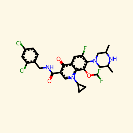 CC1CN(c2c(F)cc3c(=O)c(C(=O)NCc4ccc(Cl)cc4Cl)cn(C4CC4)c3c2OC(F)F)CC(C)N1